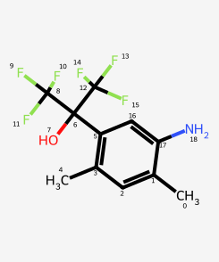 Cc1cc(C)c(C(O)(C(F)(F)F)C(F)(F)F)cc1N